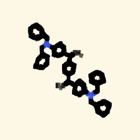 C=C(c1ccc(C(=C)c2ccc(N(Cc3ccccc3)Cc3ccccc3)cc2)cc1)c1ccc(N(Cc2ccccc2)Cc2ccccc2)cc1